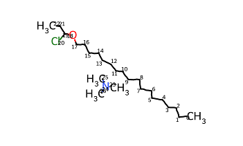 CCCCCCCCCCCCCCCCCCOC(Cl)CC.CN(C)C